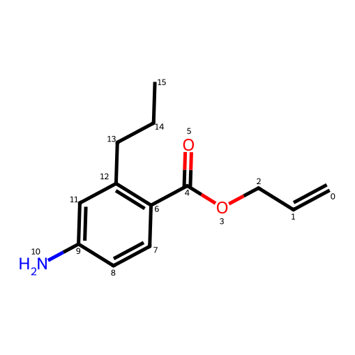 C=CCOC(=O)c1ccc(N)cc1CCC